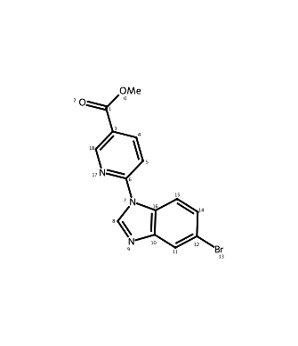 COC(=O)c1ccc(-n2cnc3cc(Br)ccc32)nc1